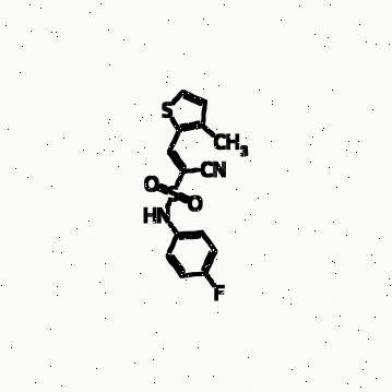 Cc1ccsc1C=C(C#N)S(=O)(=O)Nc1ccc(F)cc1